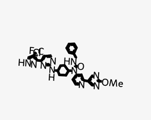 COc1ncc(-c2cc(N(C(=O)NCc3ccccc3)C3CCC(Nc4ncc(C(F)(F)F)c(-c5n[nH]cc5Cl)n4)CC3)ccn2)cn1